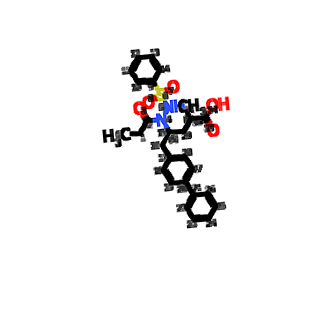 CCC(=O)N(NS(=O)(=O)c1ccccc1)[C@H](Cc1ccc(-c2ccccc2)cc1)C[C@@H](C)C(=O)O